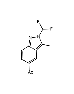 CC(=O)c1ccc2nn(C(F)F)c(C)c2c1